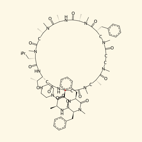 CC(C)C[C@H]1C(=O)N[C@@H]([C@@H](C)O)CC(=O)N[C@H](C(=O)N(C)[C@@H](Cc2ccccc2)C(=O)N(C)[C@@H](Cc2ccccc2)C(=O)N[C@@H](C)C(=O)N2CCCCC2)CC(=O)N(C)C[C@@H](C)C(=O)N(C)CCC(=O)N(C)C[C@@H](Cc2ccccc2)C(=O)N(C)[C@@H](C)C(=O)N[C@@H](C)C(=O)N(C)[C@@H](C)CC(=O)N1C